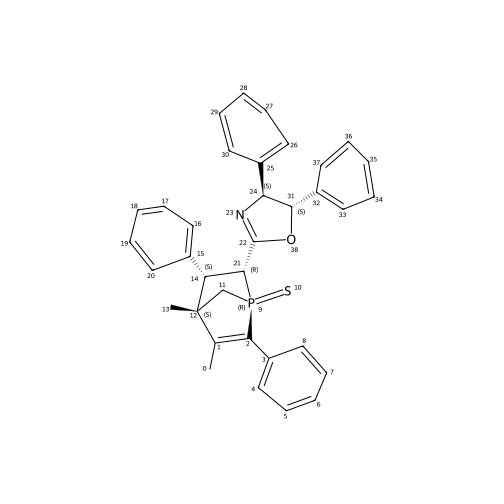 CC1=C(c2ccccc2)[P@@]2(=S)C[C@@]1(C)[C@H](c1ccccc1)[C@@H]2C1=N[C@@H](c2ccccc2)[C@H](c2ccccc2)O1